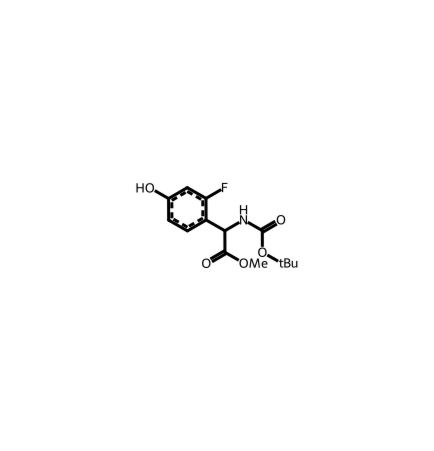 COC(=O)C(NC(=O)OC(C)(C)C)c1ccc(O)cc1F